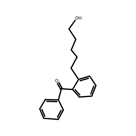 O=C(c1ccccc1)c1ccccc1CCCCCO